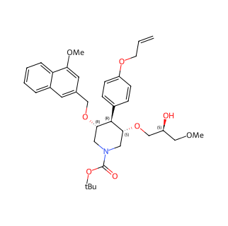 C=CCOc1ccc([C@@H]2[C@@H](OCc3cc(OC)c4ccccc4c3)CN(C(=O)OC(C)(C)C)C[C@H]2OC[C@@H](O)COC)cc1